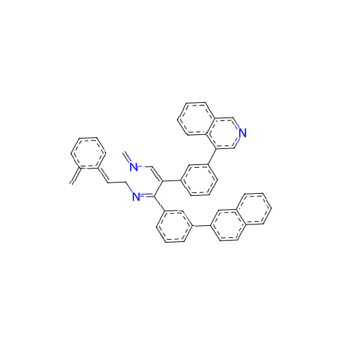 C=N/C=C(\C(=N/C/C=c1\ccccc1=C)c1cccc(-c2ccc3ccccc3c2)c1)c1cccc(-c2cncc3ccccc23)c1